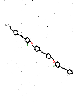 CC(=O)OCCc1ccc(C#Cc2ccc(OCc3ccc(C#Cc4ccc(COc5ccc(C#Cc6ccc(CCOC(C)=O)cc6)cc5F)cc4)cc3)c(F)c2)cc1